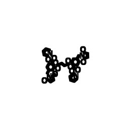 O=C(CCC(=O)OC1(C(=O)Oc2ccccn2)CCC(CN2C(=O)C=CC2=O)CC1)OC1(C(=O)Oc2ccccn2)CCC(CN2C(=O)C=CC2=O)CC1